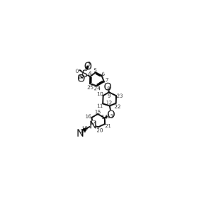 CS(=O)(=O)c1ccc(OC2CCC(OC3CCN(C#N)CC3)CC2)cc1